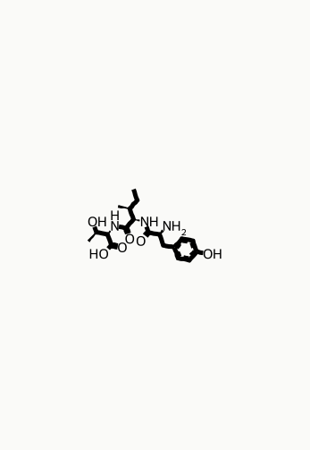 CC[C@H](C)[C@H](NC(=O)[C@@H](N)Cc1ccc(O)cc1)C(=O)N[C@H](C(=O)O)[C@@H](C)O